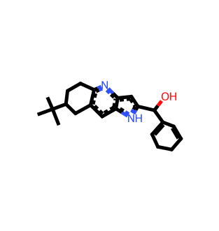 CC(C)(C)C1CCc2nc3cc(C(O)C4=CCCC=C4)[nH]c3cc2C1